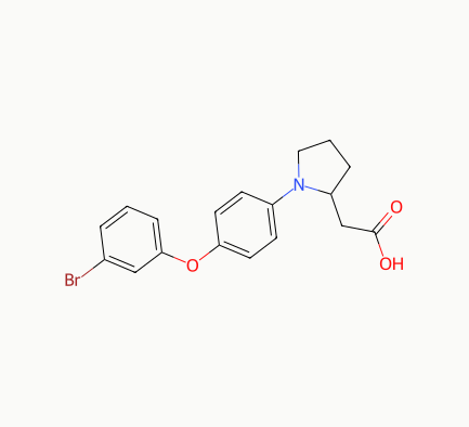 O=C(O)CC1CCCN1c1ccc(Oc2cccc(Br)c2)cc1